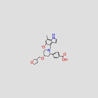 COc1cc(C)c2[nH]ccc2c1CN1CC[C@@H](OCC2CCOC2)C[C@@H]1c1ccc(C(=O)O)cc1